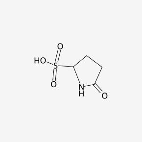 O=C1CCC(S(=O)(=O)O)N1